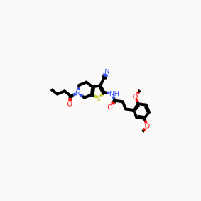 CCCC(=O)N1CCc2c(sc(NC(=O)CCc3cc(OC)ccc3OC)c2C#N)C1